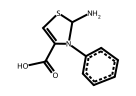 NC1SC=C(C(=O)O)N1c1ccccc1